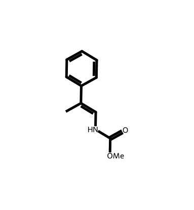 COC(=O)NC=C(C)c1ccccc1